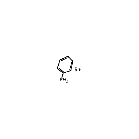 Pc1ccccc1.[Rh]